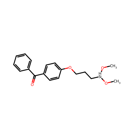 CO[SiH](CCCOc1ccc(C(=O)c2ccccc2)cc1)OC